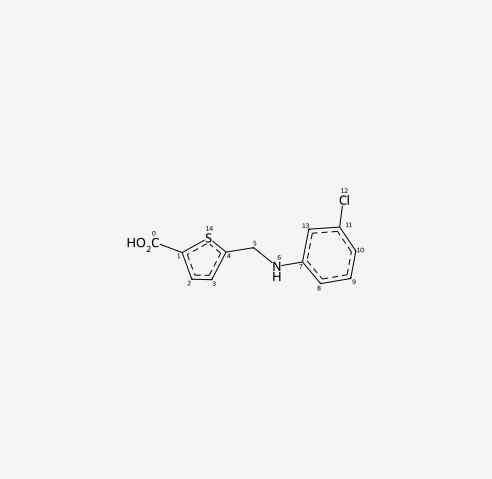 O=C(O)c1ccc(CNc2cccc(Cl)c2)s1